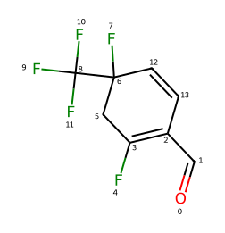 O=CC1=C(F)CC(F)(C(F)(F)F)C=C1